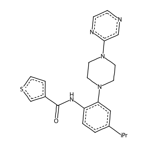 CC(C)c1ccc(NC(=O)c2ccsc2)c(N2CCN(c3cnccn3)CC2)c1